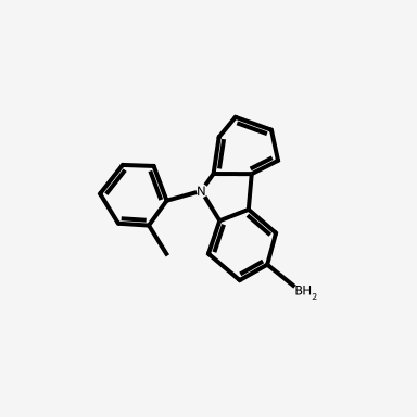 Bc1ccc2c(c1)c1ccccc1n2-c1ccccc1C